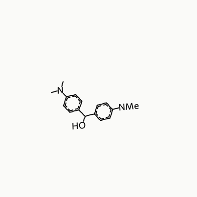 CNc1ccc(C(O)c2ccc(N(C)C)cc2)cc1